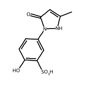 Cc1cc(=O)n(-c2ccc(O)c(S(=O)(=O)O)c2)[nH]1